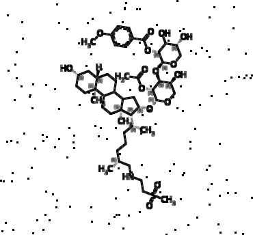 COc1ccc(C(=O)O[C@@H]2C(O)[C@H](O)CO[C@H]2O[C@@H]2[C@@H](OC(C)=O)[C@@H](O[C@H]3CC4C5CC[C@H]6C[C@@H](O)CC[C@]6(C)C5CC[C@]4(C)[C@H]3[C@H](C)CCC[C@@H](C)CNCCS(C)(=O)=O)OC[C@@H]2O)cc1